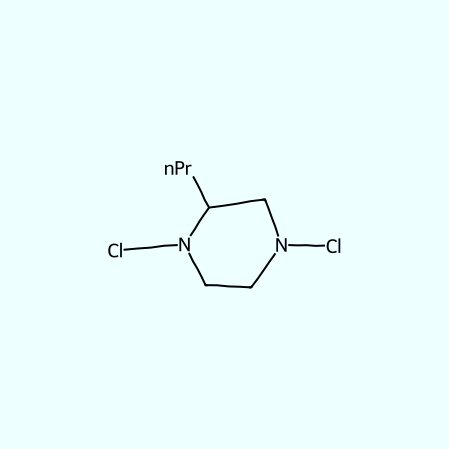 CCCC1CN(Cl)CCN1Cl